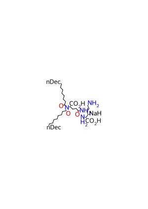 CCCCCCCCCCCCCCCCCC(=O)N(C(=O)CCCCCCCCCCCCCCCCC)[C@@H](CCC(N)=O)C(=O)O.NCCCCC(N)C(=O)O.[NaH]